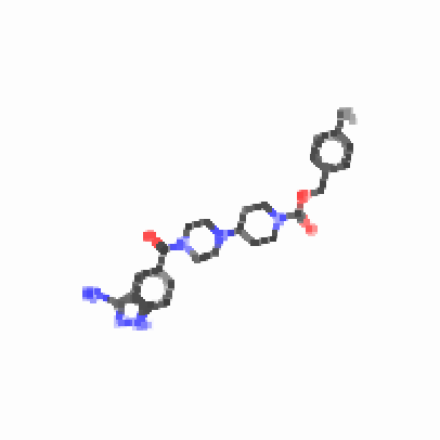 Nc1n[nH]c2ccc(C(=O)N3CCN(C4CCN(C(=O)OCc5ccc(C(F)(F)F)cc5)CC4)CC3)cc12